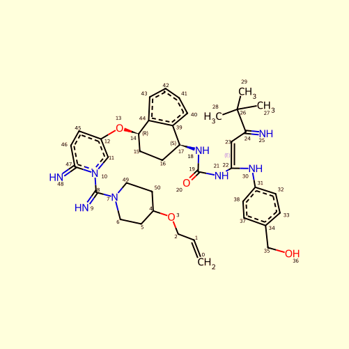 C=CCOC1CCN(C(=N)n2cc(O[C@@H]3CC[C@H](NC(=O)N/C(=C/C(=N)C(C)(C)C)Nc4ccc(CO)cc4)c4ccccc43)ccc2=N)CC1